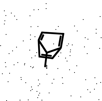 [C]C1C2=CC=C1C=C2